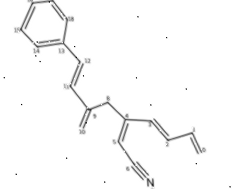 C=CC=CC(=CC#N)CC(=C)C=Cc1ccccc1